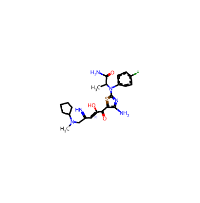 CC(C(N)=O)N(c1ccc(F)cc1)c1nc(N)c(C(=O)/C(O)=C/C(=N)CN(C)C2CCCC2)s1